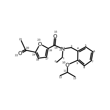 CCN(Cc1ccccc1OC(C)C)C(=O)c1ccc(C(C)=O)o1